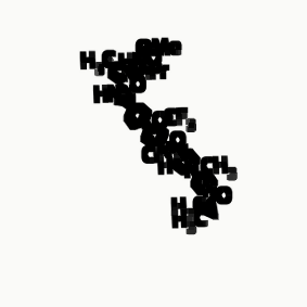 COC(=O)N[C@H](C(=O)N1C[C@@H](C)C[C@H]1c1nc(-c2ccc(-c3cc(Cl)c(NC(=O)N4CCN(C5CCN(C(=O)[C@H]6CC6(C)C)C[C@@H]5C)CC4)cc3OC(F)(F)F)cc2)c[nH]1)C(C)C